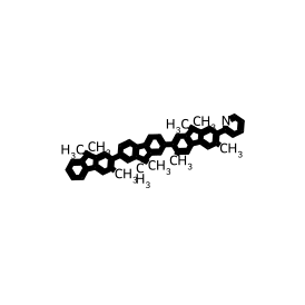 Cc1cc2c(cc1-c1ccc3c(c1)C(C)(C)c1cc(-c4cc5c(cc4C)-c4cc(C)c(-c6ccccn6)cc4C5(C)C)ccc1-3)C(C)(C)c1ccccc1-2